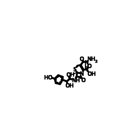 NNC(=O)C1=C(C(=O)O)N2C(=O)C(NC(=O)C(O)c3ccc(O)cc3)[C@H]2SC1